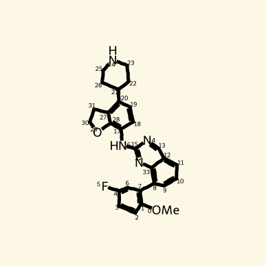 COc1ccc(F)cc1-c1cccc2cnc(Nc3ccc(C4CCNCC4)c4c3OCC4)nc12